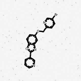 Brc1ccc(COc2ccc3oc(-c4cccnc4)nc3c2)nc1